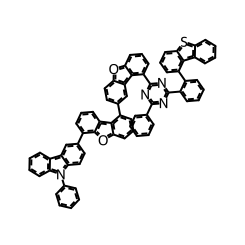 c1ccc(-c2nc(-c3ccccc3-c3cccc4sc5ccccc5c34)nc(-c3cccc4oc5ccc(-c6cccc7oc8c(-c9ccc%10c(c9)c9ccccc9n%10-c9ccccc9)cccc8c67)cc5c34)n2)cc1